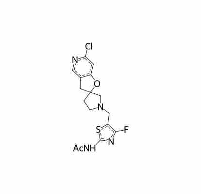 CC(=O)Nc1nc(F)c(CN2CCC3(Cc4cnc(Cl)cc4O3)C2)s1